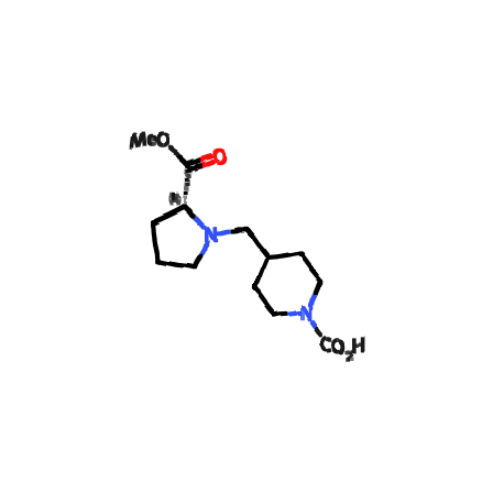 COC(=O)[C@H]1CCCN1CC1CCN(C(=O)O)CC1